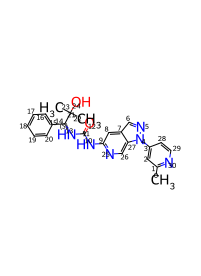 Cc1cc(-n2ncc3cc(NC(=O)N[C@@H](c4ccccc4)C(C)(C)O)ncc32)ccn1